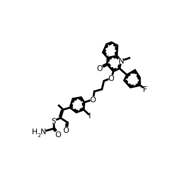 C/C(=C(/C=O)SC(N)=O)c1ccc(OCCCOc2c(-c3ccc(F)cc3)n(C)c3ccccc3c2=O)c(I)c1